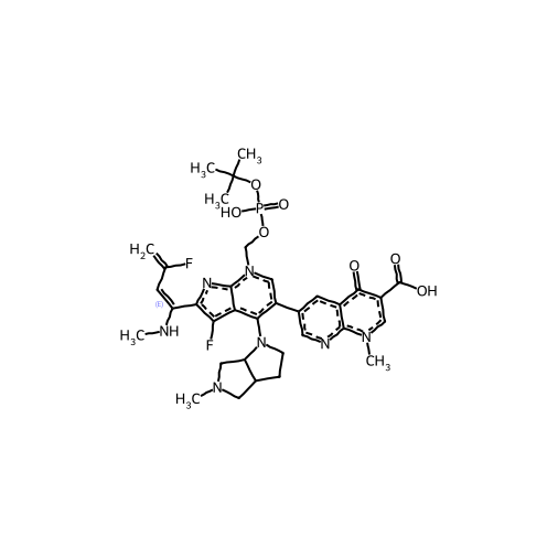 C=C(F)/C=C(/NC)c1nc2n(COP(=O)(O)OC(C)(C)C)cc(-c3cnc4c(c3)c(=O)c(C(=O)O)cn4C)c(N3CCC4CN(C)CC43)c-2c1F